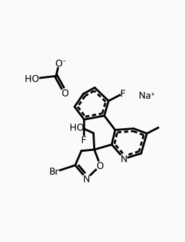 Cc1cnc(C2(CO)CC(Br)=NO2)c(-c2c(F)cccc2F)c1.O=C([O-])O.[Na+]